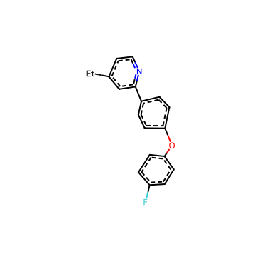 CCc1ccnc(-c2ccc(Oc3ccc(F)cc3)cc2)c1